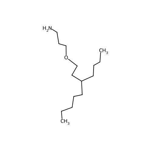 CCCCCC(CCCC)CCOCCCN